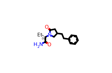 CC[C@@H](C(N)=O)N1CC(CCc2ccccc2)CC1=O